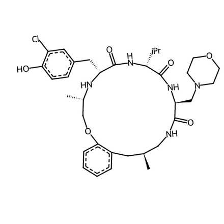 CC(C)[C@H]1NC(=O)[C@@H](Cc2ccc(O)c(Cl)c2)N[C@@H](C)COc2ccccc2C[C@H](C)CNC(=O)[C@H](CN2CCOCC2)NC1=O